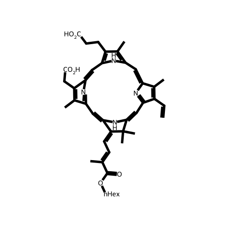 C=CC1=C(C)c2cc3[nH]c(cc4nc(cc5[nH]c(cc1n2)C(C)(C)/C5=C\C=C(/C)C(=O)OCCCCCC)C(C)=C4CC(=O)O)c(CCC(=O)O)c3C